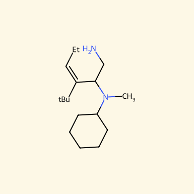 CC/C=C(\C(CN)N(C)C1CCCCC1)C(C)(C)C